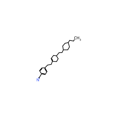 CCCC1CCC(CCC2CC=C(CCc3ccc(C#N)cc3)CC2)CC1